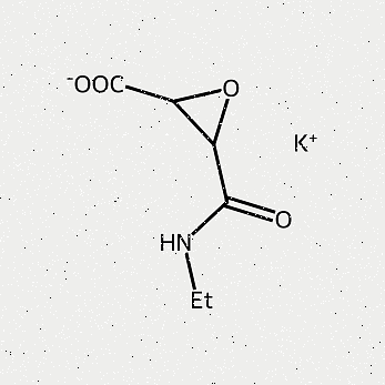 CCNC(=O)C1OC1C(=O)[O-].[K+]